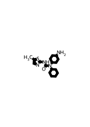 Cc1cnc(NC(=O)N(C2CCCCC2)C2CCC(N)CC2)s1